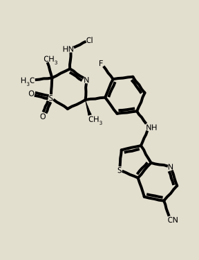 CC1(C)C(NCl)=N[C@](C)(c2cc(Nc3csc4cc(C#N)cnc34)ccc2F)CS1(=O)=O